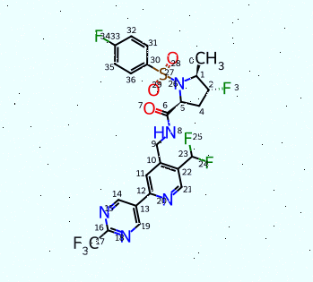 C[C@H]1[C@H](F)C[C@@H](C(=O)NCc2cc(-c3cnc(C(F)(F)F)nc3)ncc2C(F)F)N1S(=O)(=O)c1ccc(F)cc1